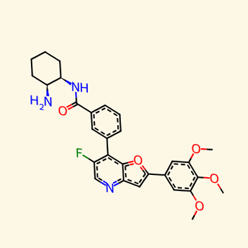 COc1cc(-c2cc3ncc(F)c(-c4cccc(C(=O)N[C@@H]5CCCC[C@@H]5N)c4)c3o2)cc(OC)c1OC